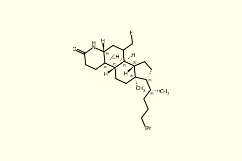 CC(C)CCC[C@@H](C)[C@H]1CC[C@H]2[C@@H]3C(CF)C[C@H]4NC(=O)CC[C@]4(C)[C@H]3CC[C@]12C